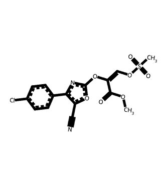 COC(=O)C(=COS(C)(=O)=O)Oc1nc(-c2ccc(Cl)cc2)c(C#N)o1